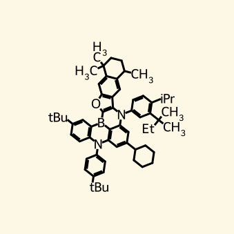 CCC(C)(C)c1cc(N2c3cc(C4CCCCC4)cc4c3B(c3cc(C(C)(C)C)ccc3N4c3ccc(C(C)(C)C)cc3)c3oc4cc5c(cc4c32)C(C)CCC5(C)C)ccc1C(C)C